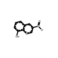 O=[N+]([O-])c1cnc2c(O)cccc2c1